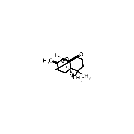 C=C1CC[C@@]2(N)C(C)(C)CCCC23C(=O)OC[C@@H]13